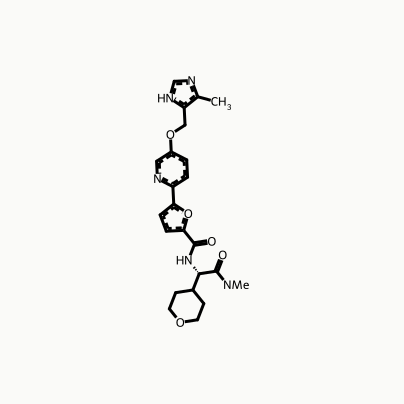 CNC(=O)[C@@H](NC(=O)c1ccc(-c2ccc(OCc3[nH]cnc3C)cn2)o1)C1CCOCC1